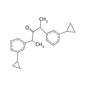 CC(C(=O)C(C)c1cccc(C2CC2)c1)c1cccc(C2CC2)c1